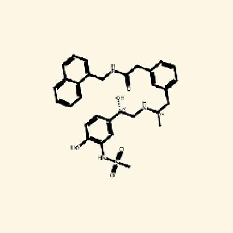 C[C@H](Cc1cccc(CC(=O)NCc2cccc3ccccc23)c1)NC[C@@H](O)c1ccc(O)c(NS(C)(=O)=O)c1